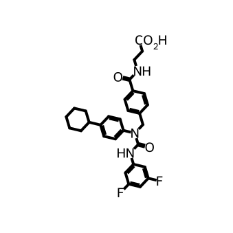 O=C(O)CCNC(=O)c1ccc(CN(C(=O)Nc2cc(F)cc(F)c2)c2ccc(C3CCCCC3)cc2)cc1